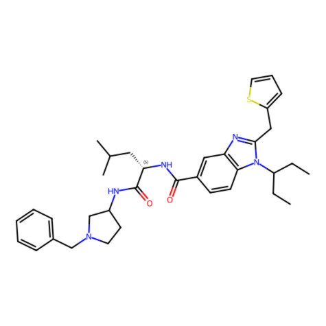 CCC(CC)n1c(Cc2cccs2)nc2cc(C(=O)N[C@@H](CC(C)C)C(=O)NC3CCN(Cc4ccccc4)C3)ccc21